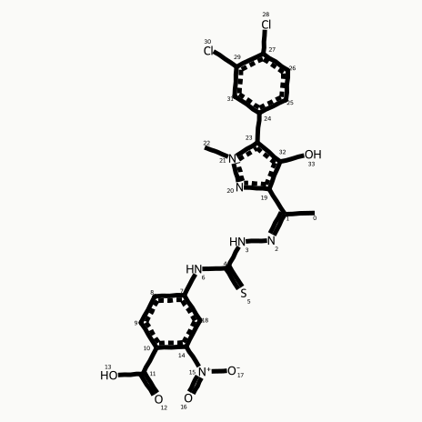 CC(=NNC(=S)Nc1ccc(C(=O)O)c([N+](=O)[O-])c1)c1nn(C)c(-c2ccc(Cl)c(Cl)c2)c1O